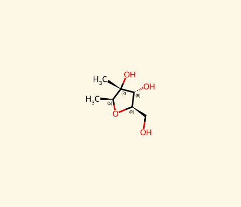 C[C@@H]1O[C@H](CO)[C@@H](O)[C@@]1(C)O